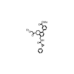 CCOCC(=O)N1CCc2c(-c3cccc(C(=O)OC)c3)ccc(CNC(=O)[C@H]3C[C@@H]3c3ccccc3)c2C1